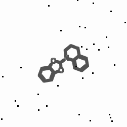 c1ccc2c(c1)CCCN2C1Oc2ccccc2O1